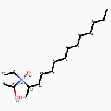 CCCCCCCCCCCCC(C)[N+]([O-])(CC)C(C)O